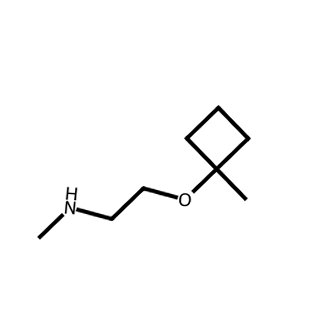 CNCCOC1(C)CCC1